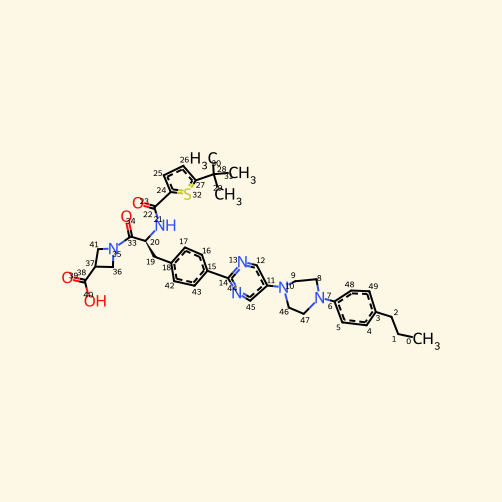 CCCc1ccc(N2CCN(c3cnc(-c4ccc(C[C@H](NC(=O)c5ccc(C(C)(C)C)s5)C(=O)N5CC(C(=O)O)C5)cc4)nc3)CC2)cc1